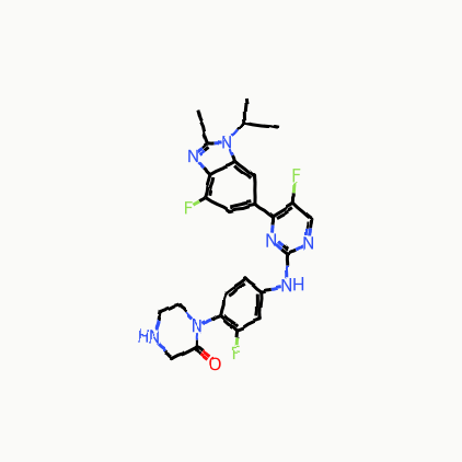 Cc1nc2c(F)cc(-c3nc(Nc4ccc(N5CCNCC5=O)c(F)c4)ncc3F)cc2n1C(C)C